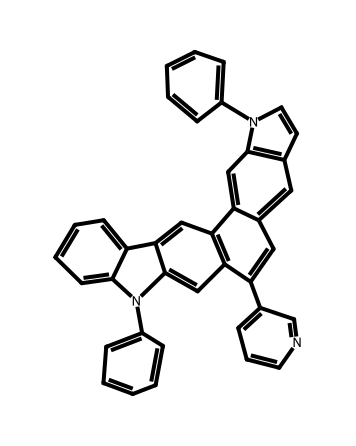 c1ccc(-n2ccc3cc4cc(-c5cccnc5)c5cc6c(cc5c4cc32)c2ccccc2n6-c2ccccc2)cc1